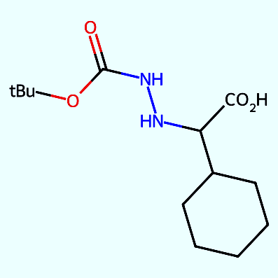 CC(C)(C)OC(=O)NNC(C(=O)O)C1CCCCC1